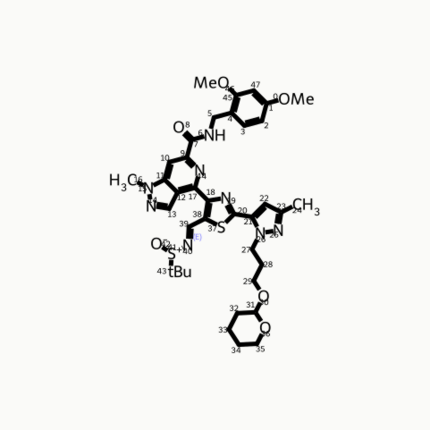 COc1ccc(CNC(=O)c2cc3c(cnn3C)c(-c3nc(-c4cc(C)nn4CCCOC4CCCCO4)sc3/C=N/[S+]([O-])C(C)(C)C)n2)c(OC)c1